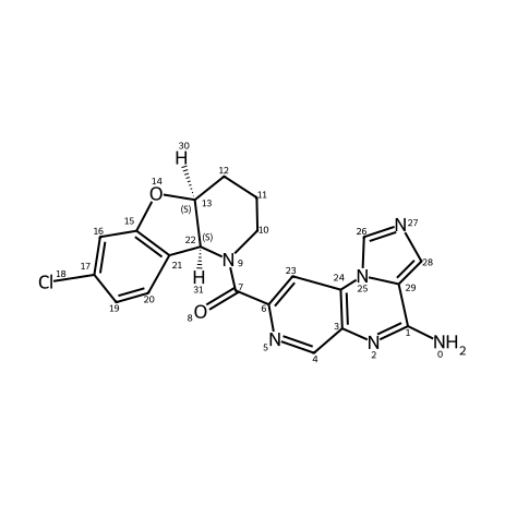 Nc1nc2cnc(C(=O)N3CCC[C@@H]4Oc5cc(Cl)ccc5[C@@H]43)cc2n2cncc12